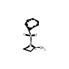 C[C@H]1CCN1S(=O)(=O)c1ccccc1